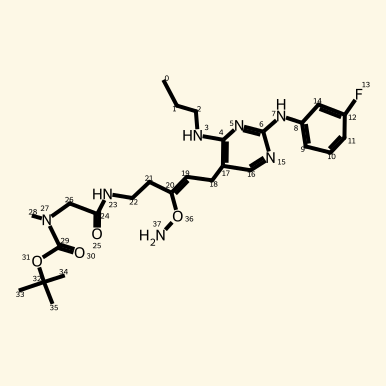 CCCNc1nc(Nc2cccc(F)c2)ncc1C/C=C(/CCNC(=O)CN(C)C(=O)OC(C)(C)C)ON